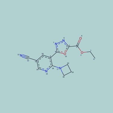 CCOC(=O)c1nnc(-c2cc(C#N)cnc2N2CCC2)o1